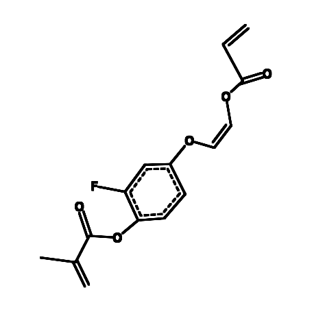 C=CC(=O)O/C=C\Oc1ccc(OC(=O)C(=C)C)c(F)c1